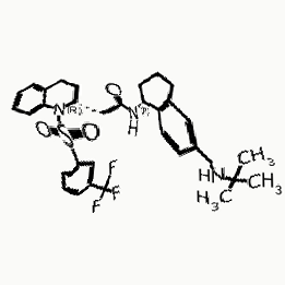 CC(C)(C)NCc1ccc2c(c1)CCC[C@H]2NC(=O)C[C@H]1CCc2ccccc2N1S(=O)(=O)c1cccc(C(F)(F)F)c1